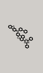 c1ccc(-c2cccc(N(c3ccc4c(c3)-c3cccc5c(-c6nc(-c7ccccc7)nc(-c7ccccc7)n6)ccc(c35)O4)c3ccc4c(c3)sc3ccccc34)c2)cc1